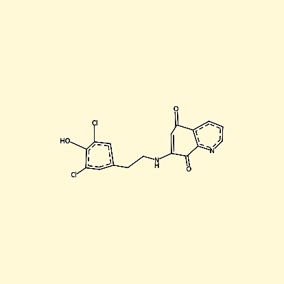 O=C1C=C(NCCc2cc(Cl)c(O)c(Cl)c2)C(=O)c2ncccc21